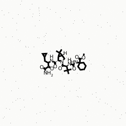 COC(=O)C1(NC(=O)N[C@H](C(=O)N2C[C@H]3C([C@H]2C(=O)NC(CC2CC2)C(=O)C(N)=O)C3(C)C)C(C)(C)C)CCCCC1